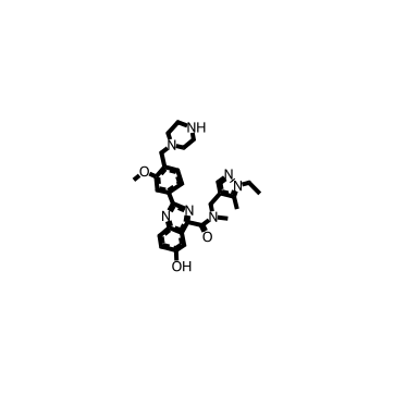 CCn1ncc(CN(C)C(=O)c2nc(-c3ccc(CN4CCNCC4)c(OC)c3)nc3ccc(O)cc23)c1C